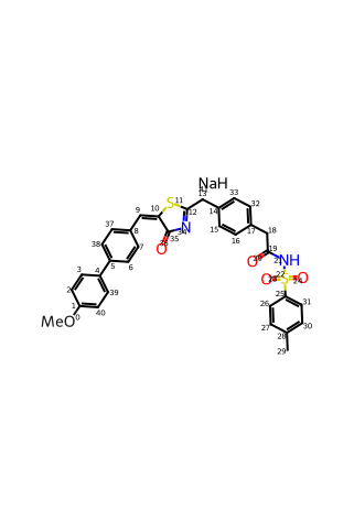 COc1ccc(-c2ccc(C=C3SC(Cc4ccc(CC(=O)NS(=O)(=O)c5ccc(C)cc5)cc4)=NC3=O)cc2)cc1.[NaH]